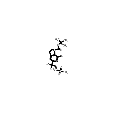 CC(C)(C)OC(=O)N1CCc2cc(C(C)(O)COS(C)(=O)=O)nc(Cl)c21